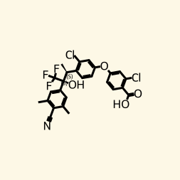 Cc1cc([C@@](O)([C@@H](C)c2ccc(Oc3ccc(C(=O)O)c(Cl)c3)cc2Cl)C(F)(F)F)cc(C)c1C#N